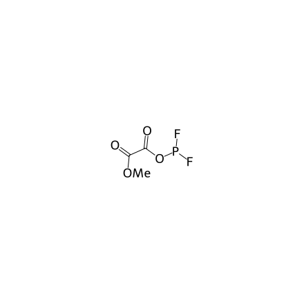 COC(=O)C(=O)OP(F)F